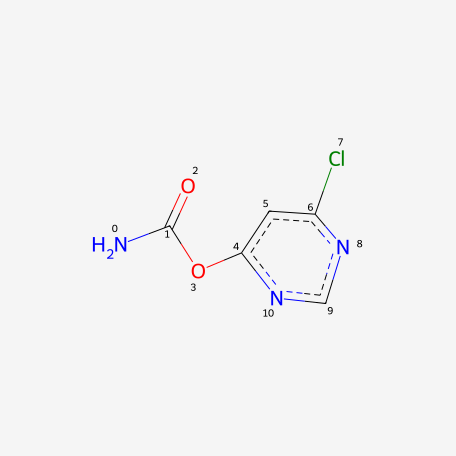 NC(=O)Oc1cc(Cl)ncn1